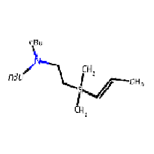 CC=C[Si](C)(C)CCN(CCCC)CCCC